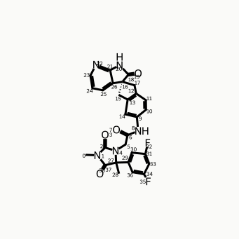 CN1C(=O)N(CC(=O)Nc2ccc3c(c2)C[C@@]2(C3)C(=O)Nc3ncccc32)C(C)(c2cc(F)cc(F)c2)C1=O